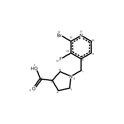 O=C(O)C1CCN(Cc2ccnc(Br)c2F)C1